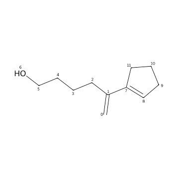 C=C(CCCCO)C1=CCCC1